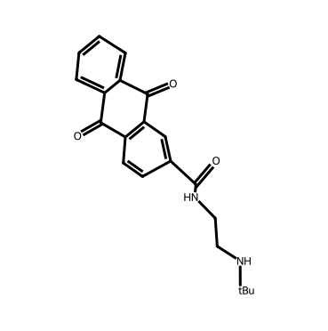 CC(C)(C)NCCNC(=O)c1ccc2c(c1)C(=O)c1ccccc1C2=O